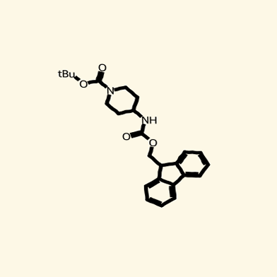 CC(C)(C)OC(=O)N1CCC(NC(=O)OCC2c3ccccc3-c3ccccc32)CC1